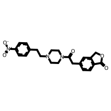 O=C1OCc2cc(CC(=O)N3CCN(CCc4ccc([N+](=O)[O-])cc4)CC3)ccc21